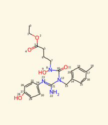 CCOC(=O)CCCN(O)C(=O)N(Cc1ccc(C)cc1)/C(N)=N/c1ccc(O)cc1